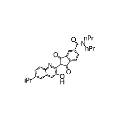 CCCN(CCC)C(=O)c1ccc2c(c1)C(=O)C(c1nc3ccc(C(C)C)cc3cc1O)C2=O